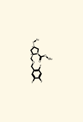 CC(=O)S[C@H]1C[C@H](COCc2cc(F)c(F)cc2F)N(C(=O)OC(C)(C)C)C1